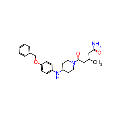 CC(CC(N)=O)CC(=O)N1CCC(Nc2ccc(OCc3ccccc3)cc2)CC1